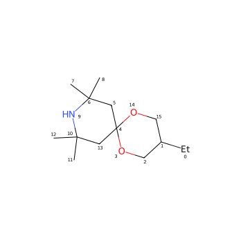 CCC1COC2(CC(C)(C)NC(C)(C)C2)OC1